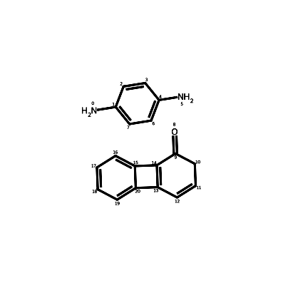 Nc1ccc(N)cc1.O=C1CC=CC2=C1c1ccccc12